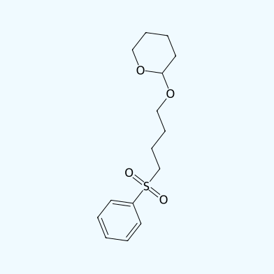 O=S(=O)(CCCCOC1CCCCO1)c1ccccc1